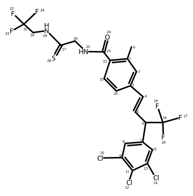 Cc1cc(/C=C/C(c2cc(Cl)c(Cl)c(Cl)c2)C(F)(F)F)ccc1C(=O)NCC(=S)NCC(F)(F)F